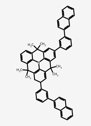 CC1(C)C2=CC(c3cccc(-c4ccc5ccccc5c4)c3)CC3=C2N2c4c1cc(-c1cccc(-c5ccc6ccccc6c5)c1)cc4C(C)(C)c1cccc(c12)C3(C)C